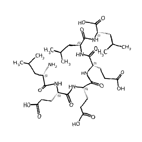 CC(C)C[C@H](NC(=O)[C@H](CC(C)C)NC(=O)[C@H](CCC(=O)O)NC(=O)[C@H](CCC(=O)O)NC(=O)[C@H](CCC(=O)O)NC(=O)[C@@H](N)CC(C)C)C(=O)O